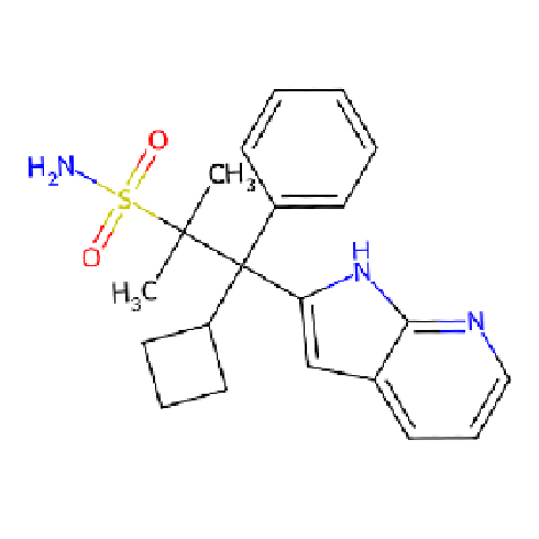 CC(C)(C(c1ccccc1)(c1cc2cccnc2[nH]1)C1CCC1)S(N)(=O)=O